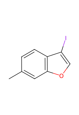 Cc1ccc2c(I)coc2c1